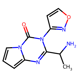 CC(N)c1nc2cccn2c(=O)n1-c1ccon1